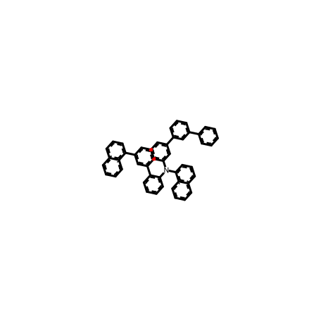 c1ccc(-c2cccc(-c3cccc(N(c4ccccc4-c4cccc(-c5cccc6ccccc56)c4)c4cccc5ccccc45)c3)c2)cc1